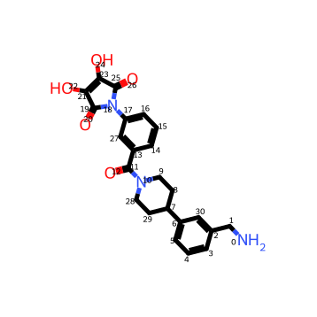 NCc1cccc(C2CCN(C(=O)c3cccc(N4C(=O)C(O)=C(O)C4=O)c3)CC2)c1